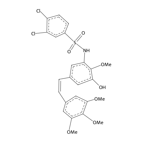 COc1cc(/C=C\c2cc(O)c(OC)c(NS(=O)(=O)c3ccc(Cl)c(Cl)c3)c2)cc(OC)c1OC